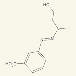 CN(CCO)N=Nc1cccc(C(=O)O)c1